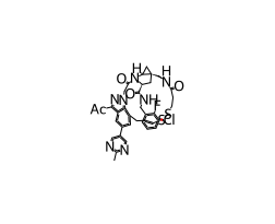 CC(=O)c1nn2c3c(cc(-c4cnc(C)nc4)cc13)C/C=C/SSCCC(=O)NC[C@@]13C[C@@H](C(=O)NCc4cccc(Cl)c4F)N(C(=O)C2)[C@@H]1C3